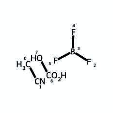 CC#N.FB(F)F.O=C(O)O